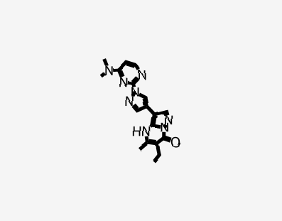 CCc1c(C)[nH]c2c(-c3cnn(-c4nccc(N(C)C)n4)c3)cnn2c1=O